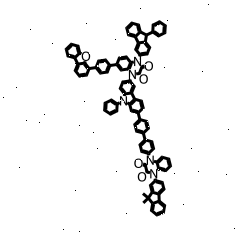 CC1(C)c2ccccc2-c2ccc(-n3c(=O)c(=O)n(-c4ccc(-c5ccc(-c6ccc7c8cc(-n9c(=O)c(=O)n(-c%10ccc%11c(c%10)-c%10ccccc%10C%11c%10ccccc%10)c%10ccc(-c%11ccc(-c%12cccc%13c%12oc%12ccccc%12%13)cc%11)cc%109)ccc8n(-c8ccccc8)c7c6)cc5)cc4)c4ccccc43)cc21